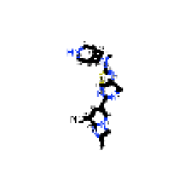 Cc1cn2cc(-c3ncc4nc(N(C)C5C6CCC5CNC6)sc4n3)cc(C#N)c2n1